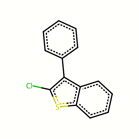 Clc1sc2ccccc2c1-c1ccccc1